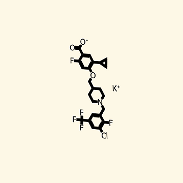 O=C([O-])c1cc(C2CC2)c(OCC2CCN(Cc3cc(C(F)(F)F)cc(Cl)c3F)CC2)cc1F.[K+]